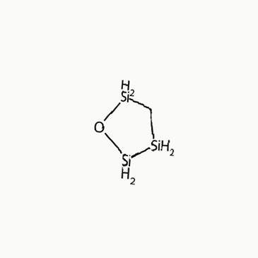 C1[SiH2]O[SiH2][SiH2]1